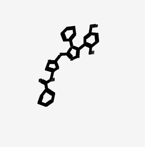 COc1ccc(O)c(-c2nnc(Sc3ncc(NC(=O)c4ccccc4)s3)n2-c2ccccc2)c1